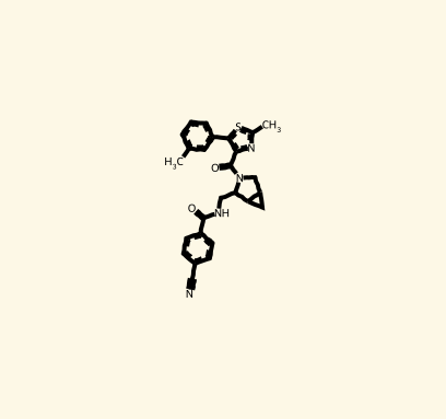 Cc1cccc(-c2sc(C)nc2C(=O)N2CC3CC3C2CNC(=O)c2ccc(C#N)cc2)c1